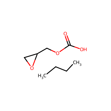 CCCC.O=C(O)OCC1CO1